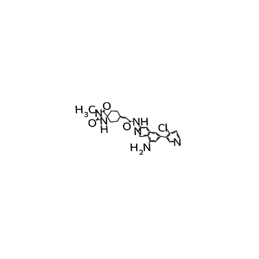 CN1C(=O)NC2(CCC(=CC(=O)Nc3cc4cc(-c5cnccc5Cl)cc(N)c4cn3)CC2)C1=O